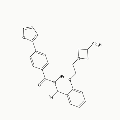 [2H]C(c1ccccc1OCCN1CC(C(=O)O)C1)N(C(=O)c1ccc(-c2ccco2)cc1)C(C)C